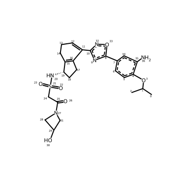 CC(C)Oc1ccc(-c2nc(C3=CCCC4=C3CC[C@@H]4NS(=O)(=O)CC(=O)N3CC(O)C3)no2)cc1N